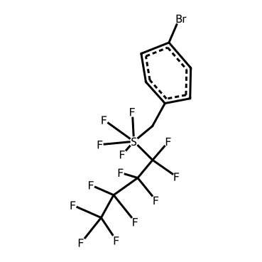 FC(F)(F)C(F)(F)C(F)(F)C(F)(F)S(F)(F)(F)(F)Cc1ccc(Br)cc1